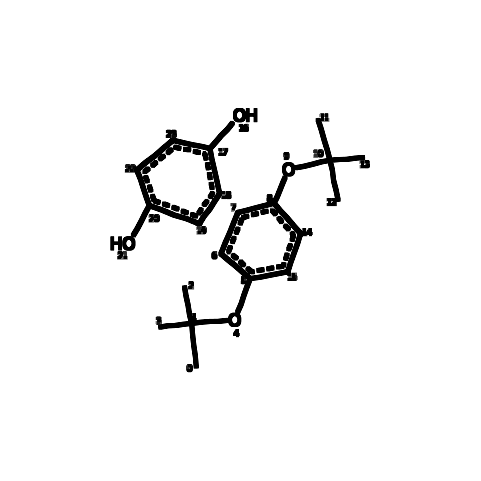 CC(C)(C)Oc1ccc(OC(C)(C)C)cc1.Oc1ccc(O)cc1